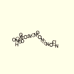 N#Cc1ccc(N2CCC3(CCN(c4ccc(C(=O)N5CCC(N6Cc7cc8c(cc7C6)C(=O)N(C6CCC(=O)NC6=O)C8=O)CC5)cc4)CC3)C2)cc1Cl